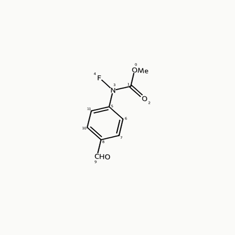 COC(=O)N(F)c1ccc(C=O)cc1